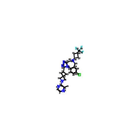 Cc1nccnc1N1CC2(CC(c3nnc4n3-c3ccc(Cl)cc3CN(C3CC(C(F)(F)F)C3)C4)C2)C1